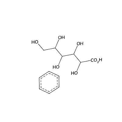 O=C(O)C(O)C(O)C(O)C(O)CO.c1ccccc1